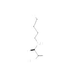 CC(C)C(=O)NCCCC[O]